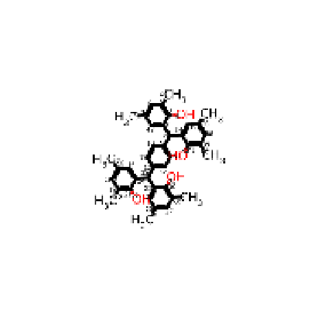 Cc1cc(C)c(O)c(C(c2ccc(C(c3cc(C)cc(C)c3O)c3cc(C)cc(C)c3O)cc2)c2cc(C)cc(C)c2O)c1